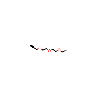 C#CCOCCOCCOC[CH2]